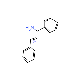 NC(/C=C/c1ccccc1)c1ccccc1